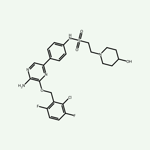 Nc1ncc(-c2ccc(NS(=O)(=O)CCN3CCC(O)CC3)cc2)nc1OCc1c(F)ccc(F)c1Cl